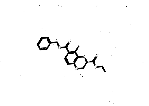 CCOC(=O)[C@H]1COc2ccc(C(=O)OCc3ccccc3)c(C)c2O1